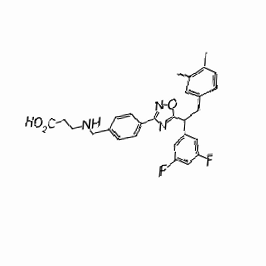 Cc1ccc(CC(c2cc(F)cc(F)c2)c2nc(-c3ccc(CNCCC(=O)O)cc3)no2)cc1C